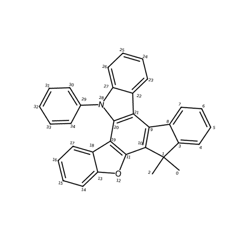 CC1(C)c2ccccc2-c2c1c1oc3ccccc3c1c1c2c2ccccc2n1-c1ccccc1